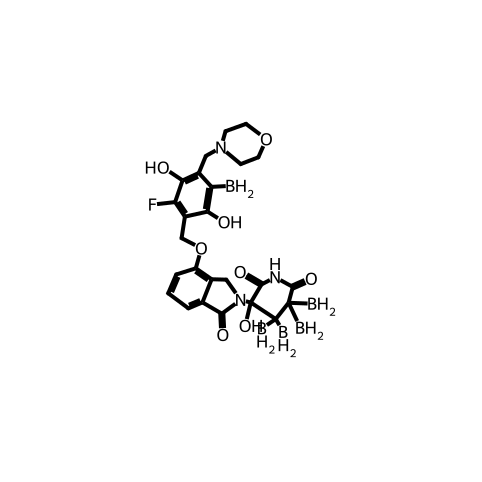 Bc1c(O)c(COc2cccc3c2CN(C2(O)C(=O)NC(=O)C(B)(B)C2(B)B)C3=O)c(F)c(O)c1CN1CCOCC1